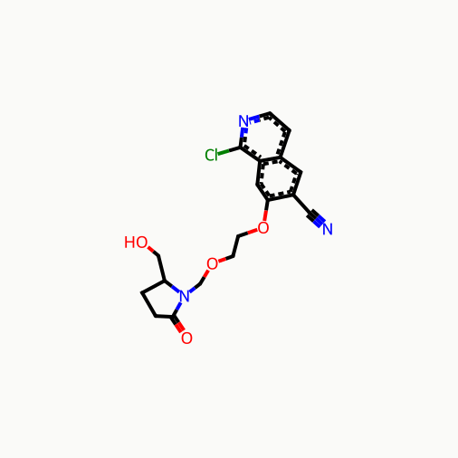 N#Cc1cc2ccnc(Cl)c2cc1OCCOCN1C(=O)CCC1CO